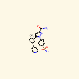 Cc1ccc(-c2ccncc2)cc1-c1cc(C(N)=O)nn1-c1ccc(S(N)(=O)=O)cc1